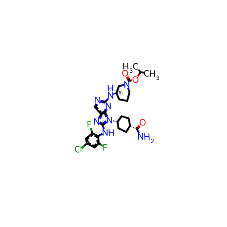 CC(C)OC(=O)N1CCC[C@@H](Nc2ncc3nc(Nc4c(F)cc(Cl)cc4F)n([C@H]4CC[C@@H](C(N)=O)CC4)c3n2)C1